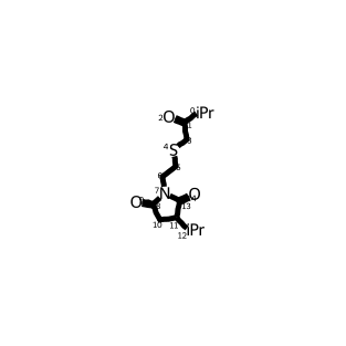 CC(C)C(=O)CSCCN1C(=O)CC(C(C)C)C1=O